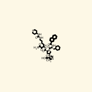 CC(C)(O)c1cnnn1[C@H]1C[C@@H](C(=O)NC(CCCCNC(=O)NC2CCSCC2)C(=O)C(N)=O)N(C(=O)[C@@H](CC2CCCCC2)NC(=O)c2ccc3ccccc3c2)C1